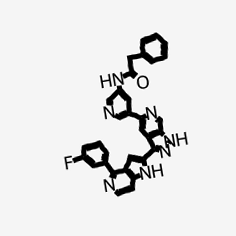 O=C(Cc1ccccc1)Nc1cncc(-c2cc3c(-c4cc5c(-c6cccc(F)c6)nccc5[nH]4)n[nH]c3cn2)c1